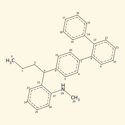 CCCC(c1ccc(-c2ccccc2-c2ccccc2)cc1)c1ccccc1NC